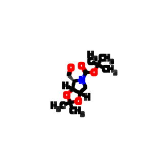 CC(C)(C)OC(=O)N1C[C@@H]2OC(C)(C)O[C@@H]2[C@@H]1C=O